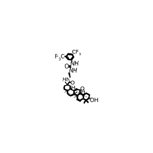 CC1(C)C2CC[C@]3(C)[C@H](C(=O)C=C4[C@H]5C[C@@](C)(C(=O)NCCNC(=O)Nc6cc(C(F)(F)F)cc(C(F)(F)F)c6)CC[C@]5(C)CC[C@]43C)[C@@]2(C)CC[C@@H]1O